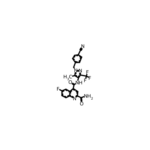 Cc1c(NC(=O)c2cc(C(N)=O)nc3ccc(F)cc23)c(C(F)(F)F)nn1Cc1ccc(C#N)cc1